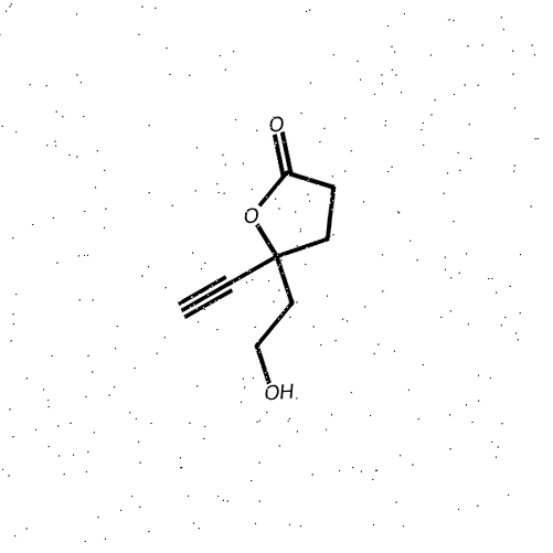 C#CC1(CCO)CCC(=O)O1